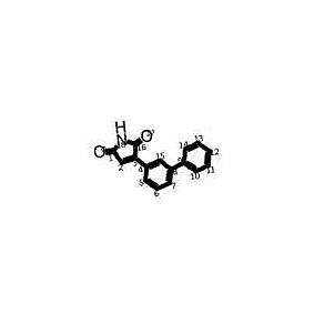 O=C1C=C(c2cccc(-c3ccccc3)c2)C(=O)N1